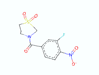 O=C(c1ccc([N+](=O)[O-])c(F)c1)N1CCS(=O)(=O)C1